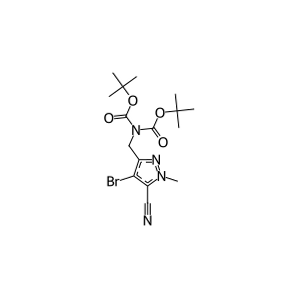 Cn1nc(CN(C(=O)OC(C)(C)C)C(=O)OC(C)(C)C)c(Br)c1C#N